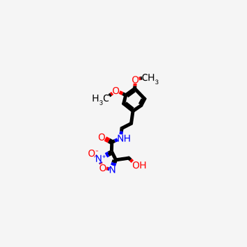 COc1ccc(CCNC(=O)c2c(CO)no[n+]2[O-])cc1OC